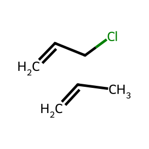 C=CC.C=CCCl